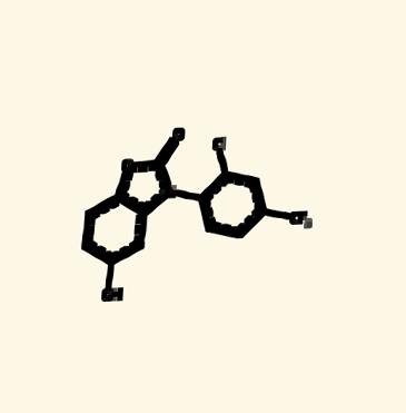 O=c1oc2ccc(O)cc2n1-c1ccc(C(F)(F)F)cc1Cl